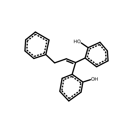 Oc1ccccc1C(=CCc1ccccc1)c1ccccc1O